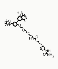 Cc1nnc(N)c2ccc(-c3cc(B4OC(C)(C)C(C)(C)O4)ccc3OCCOCCOCCNC(=O)CCCC[C@H]3C[C@@H](NC(N)=O)CS3)cc12